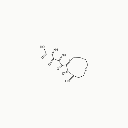 N=C1CCCCCCCN=C(C(=O)C(=N)C(=O)C(=N)C(=O)O)C1=O